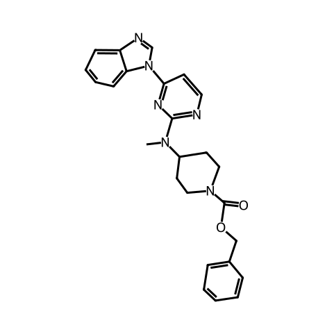 CN(c1nccc(-n2cnc3ccccc32)n1)C1CCN(C(=O)OCc2ccccc2)CC1